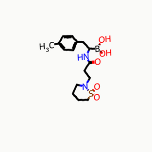 Cc1ccc(CC(NC(=O)CCN2CCCCS2(=O)=O)B(O)O)cc1